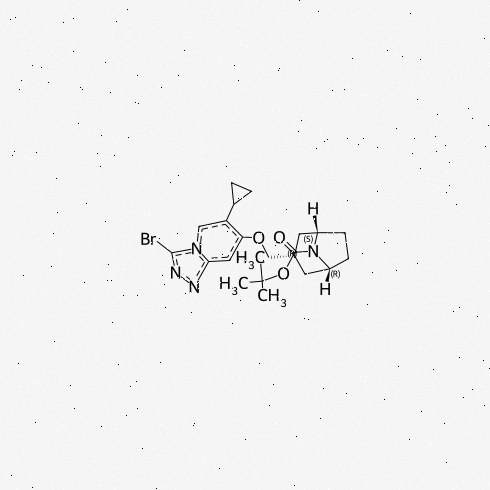 CC(C)(C)OC(=O)N1[C@@H]2CC[C@H]1C[C@@H](COc1cc3nnc(Br)n3cc1C1CC1)C2